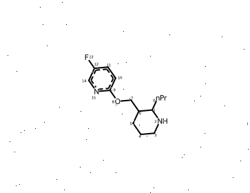 CCCC1NCCCC1COc1ccc(F)cn1